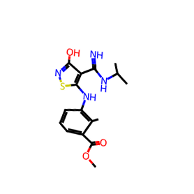 COC(=O)c1cccc(Nc2snc(O)c2C(=N)NC(C)C)c1C